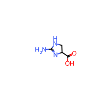 NC1=NC(C(=O)O)CN1